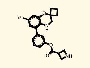 CC(C)c1cc2c(c(-c3cccc(OC(=O)C4CNC4)c3)c1)NCC1(CCC1)O2